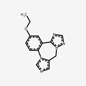 CCOc1ccc2c(c1)-c1ncnn1Cc1cncn1-2